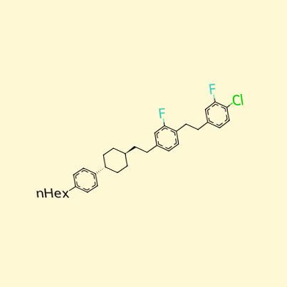 CCCCCCc1ccc([C@H]2CC[C@H](CCc3ccc(CCc4ccc(Cl)c(F)c4)c(F)c3)CC2)cc1